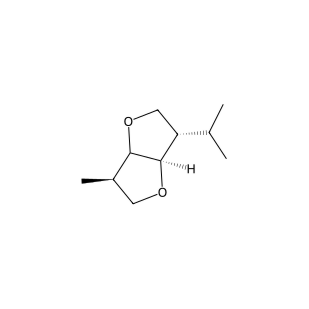 CC(C)[C@H]1COC2[C@H](C)CO[C@@H]21